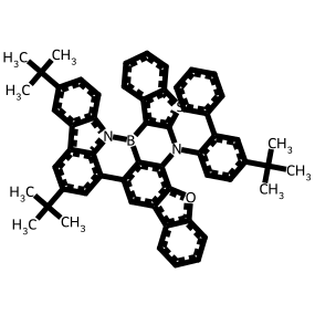 CC(C)(C)c1ccc(N2c3sc4ccccc4c3B3c4c(cc5c(oc6ccccc65)c42)-c2cc(C(C)(C)C)cc4c5cc(C(C)(C)C)ccc5n3c24)c(-c2ccccc2)c1